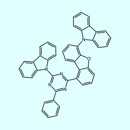 c1ccc(-c2nc(-c3cccc4oc5c(-n6c7ccccc7c7ccccc76)cccc5c34)nc(-n3c4ccccc4c4ccccc43)n2)cc1